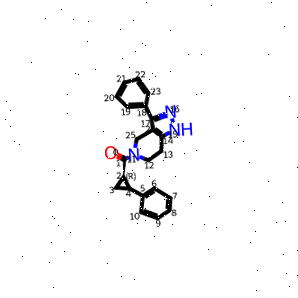 O=C([C@@H]1CC1c1ccccc1)N1CCc2[nH]nc(-c3ccccc3)c2C1